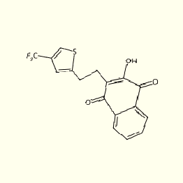 O=C1C(O)=C(CCc2cc(C(F)(F)F)cs2)C(=O)c2ccccc21